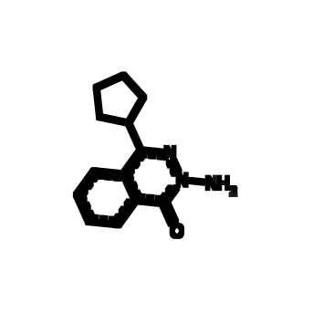 Nn1nc(C2CCCC2)c2ccccc2c1=O